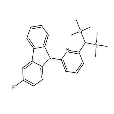 CS(C)(C)C(c1cccc(-n2c3ccccc3c3cc(F)ccc32)n1)S(C)(C)C